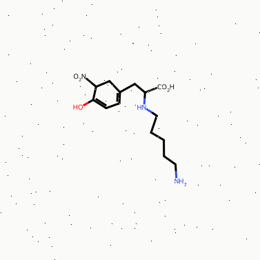 NCCCCCNC(CC1=CC=C(O)C([N+](=O)[O-])C1)C(=O)O